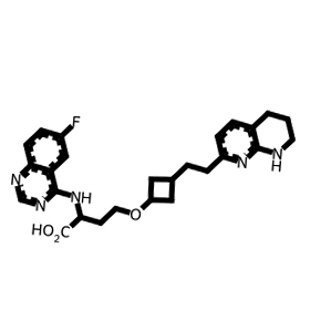 O=C(O)C(CCOC1CC(CCc2ccc3c(n2)NCCC3)C1)Nc1ncnc2ccc(F)cc12